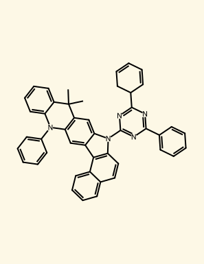 CC1(C)c2ccccc2N(c2ccccc2)c2cc3c4c5ccccc5ccc4n(-c4nc(-c5ccccc5)nc(C5C=CC=CC5)n4)c3cc21